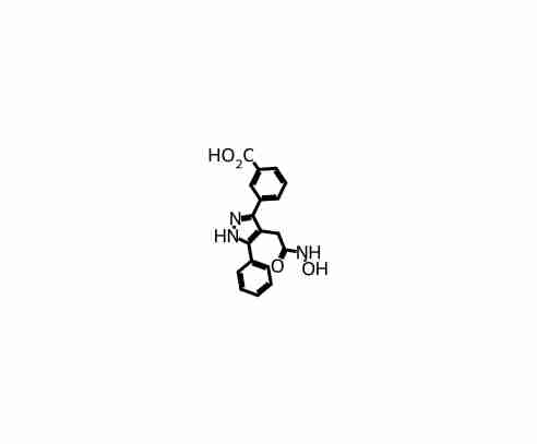 O=C(Cc1c(-c2cccc(C(=O)O)c2)n[nH]c1-c1ccccc1)NO